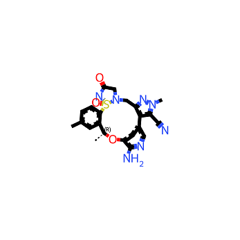 Cc1ccc2c(c1)[C@@H](C)Oc1cc(cnc1N)-c1c(nn(C)c1C#N)CN1CC(=O)N=S21=O